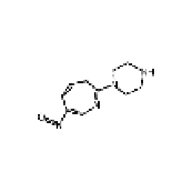 O=NC1=CN=C(N2CCNCC2)CC=C1